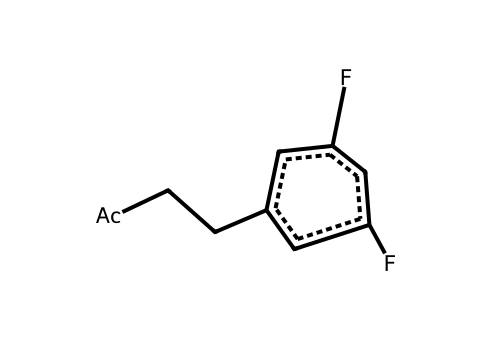 CC(=O)CCc1cc(F)cc(F)c1